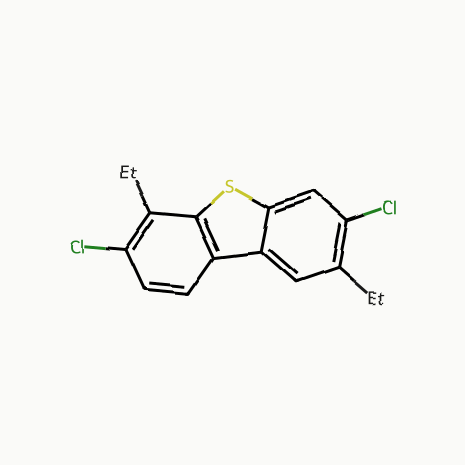 CCc1cc2c(cc1Cl)sc1c(CC)c(Cl)ccc12